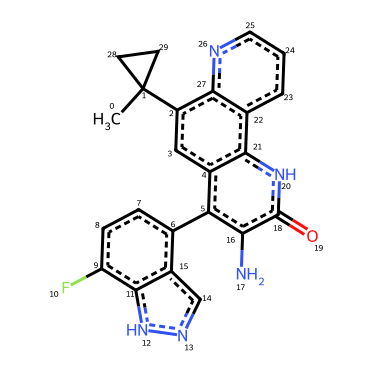 CC1(c2cc3c(-c4ccc(F)c5[nH]ncc45)c(N)c(=O)[nH]c3c3cccnc23)CC1